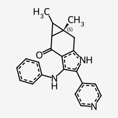 CC1C2C(=O)c3c([nH]c(-c4ccncc4)c3Nc3ccccc3)C[C@@]12C